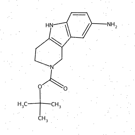 CC(C)(C)OC(=O)N1CCc2[nH]c3ccc(N)cc3c2C1